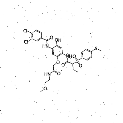 CCC(C(=O)Nc1cc(O)c(NC(=O)c2ccc(Cl)c(Cl)c2)cc1OCC(=O)NCCOC)S(=O)(=O)c1ccc(SC)cc1